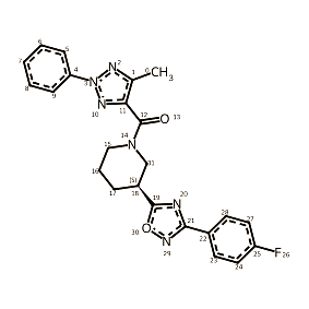 Cc1nn(-c2ccccc2)nc1C(=O)N1CCC[C@H](c2nc(-c3ccc(F)cc3)no2)C1